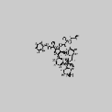 C=CCOC(=O)COc1c(C(=O)OCc2ccccc2)sc(-c2cccc(N(C3CCNCC3)S(=O)(=O)Cc3ccccc3)c2)c1Br